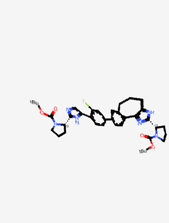 CC(C)(C)OC(=O)N1CCC[C@H]1c1ncc(-c2ccc(-c3ccc4c(c3)CCCc3[nH]c([C@@H]5CCCN5C(=O)OC(C)(C)C)nc3-4)cc2F)[nH]1